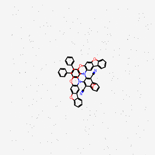 N#Cc1c(N2c3ccc(-c4ccccc4)cc3Oc3cc4oc5ccccc5c4cc32)c(N2c3ccc(-c4ccccc4)cc3Oc3cc4oc5ccccc5c4cc32)c(C#N)c2c3ccc(o3)c12